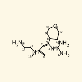 C=C(/C=C(\N=C(N)N)C1CCOCC1)N(C)CCN